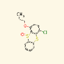 CCCOc1ccc(Cl)c2c1[S+]([O-])c1ccccc1S2